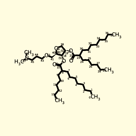 CCCCCCCCC(CCCCCC)C(=O)O[C@@H]1[C@@H](OC(=O)C(CCCCCC)CCCCCCCC)CO[C@@H]1COCCCN(C)C